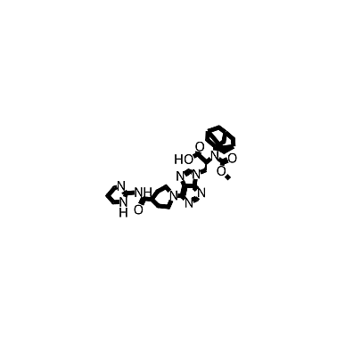 COC(=O)N([C@@H](Cn1cnc2c(N3CCC(C(=O)NC4=NCCCN4)CC3)ncnc21)C(=O)O)C12CC3CC(CC(C3)C1)C2